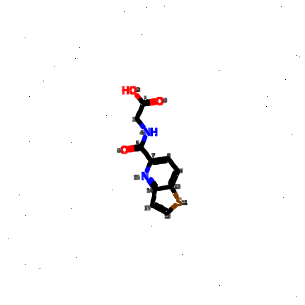 O=C(O)CNC(=O)c1ccc2sccc2n1